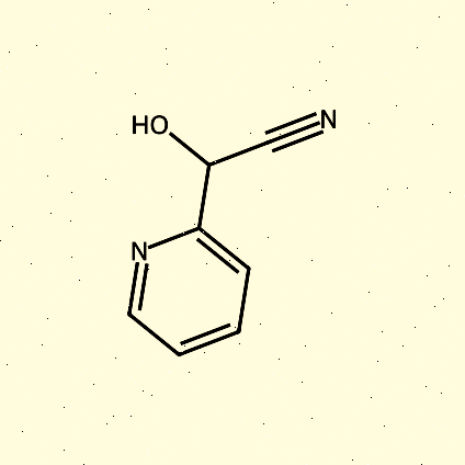 N#CC(O)c1ccccn1